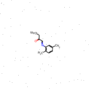 COCC(=O)/C=N/c1cc(C)ccc1C